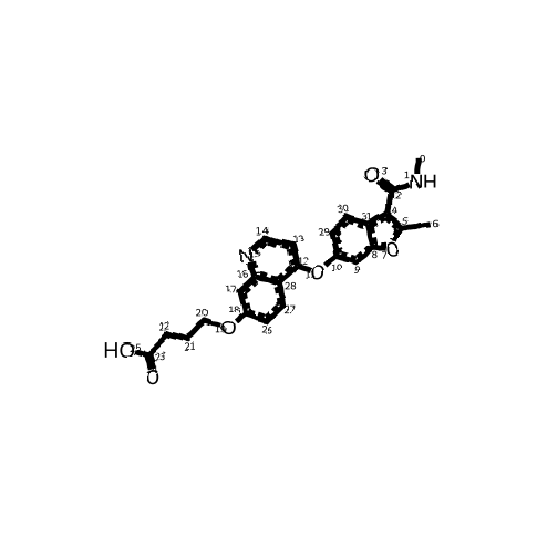 CNC(=O)c1c(C)oc2cc(Oc3ccnc4cc(OCCCC(=O)O)ccc34)ccc12